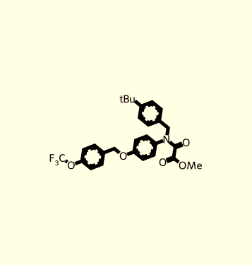 COC(=O)C(=O)N(Cc1ccc(C(C)(C)C)cc1)c1ccc(OCc2ccc(OC(F)(F)F)cc2)cc1